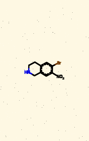 O=[N+]([O-])c1cc2c(cc1Br)CCNC2